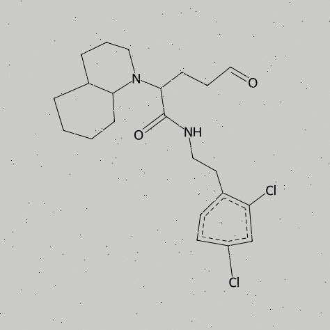 O=CCCC(C(=O)NCCc1ccc(Cl)cc1Cl)N1CCCC2CCCCC21